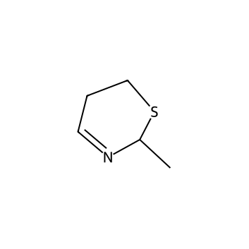 CC1N=CCCS1